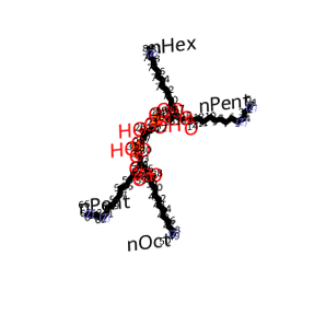 CCCCC/C=C\C/C=C\CCCCCCCC(=O)OC[C@H](COP(=O)(O)OCC(O)COP(=O)(O)OC[C@@H](COC(=O)CCCCCCCCC/C=C\CCCCCCCC)OC(=O)CCCCCCC/C=C\C/C=C\CCCCC)OC(=O)CCCCCCCCC/C=C\CCCCCC